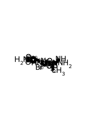 CSc1sc(C(=N)N)cc1S(=O)(=O)c1cnc(NCc2ccc(S(N)(=O)=O)cc2)c(Br)c1